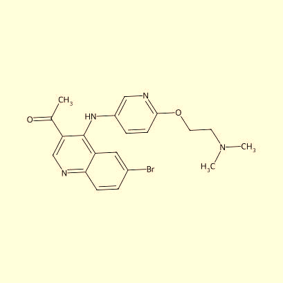 CC(=O)c1cnc2ccc(Br)cc2c1Nc1ccc(OCCN(C)C)nc1